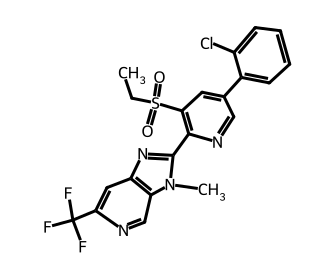 CCS(=O)(=O)c1cc(-c2ccccc2Cl)cnc1-c1nc2cc(C(F)(F)F)ncc2n1C